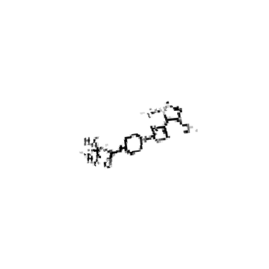 Cc1cnn(C)c1-c1csc(N2CCN(C(=O)OC(C)(C)C)CC2)n1